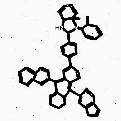 CC1C=CC=CC1N1C(c2ccc(-c3ccc4c(c3)=C(c3ccc5ccccc5c3)C3=CCCCC3C=4c3ccc4c(c3)CC=C4)cc2)NC2C=CC=CC21C